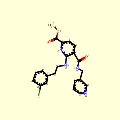 COC(=O)c1ccc(C(=O)NCc2cccnc2)c(NCCc2cccc(F)c2)n1